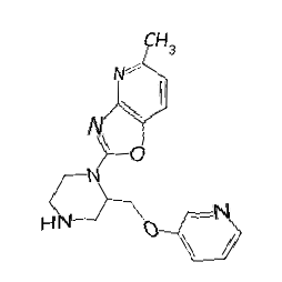 Cc1ccc2oc(N3CCNCC3COc3cccnc3)nc2n1